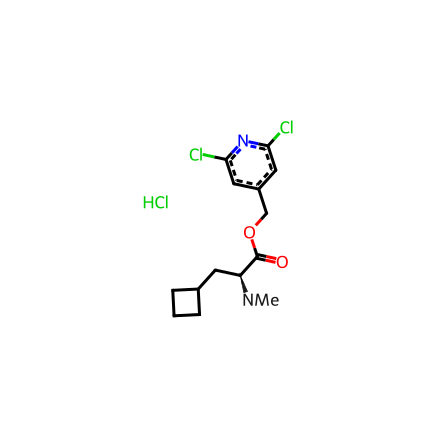 CN[C@@H](CC1CCC1)C(=O)OCc1cc(Cl)nc(Cl)c1.Cl